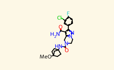 COC12CCC(NC(=O)N3CCn4nc(-c5ccc(F)c(Cl)c5)c(C(N)=O)c4C3)(CC1)C2